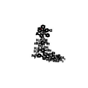 CCC(Nc1ncnc(C)c1Cl)c1ccc(OC(F)F)cc1.CCCCc1c(C)nc(N(C)C)nc1O.CCCCc1c(C)nc(NCC)nc1O.CCCCc1c(C)nc(NCC)nc1OS(=O)(=O)N(C)C.Cc1cc(C2CC2)nc(Nc2ccccc2)n1.OC(c1ccc(Cl)cc1)(c1cncnc1)c1ccccc1Cl